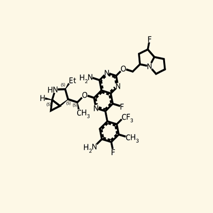 CC[C@@H]1N[C@H]2CC2[C@@H]1[C@H](C)Oc1nc(-c2cc(N)c(F)c(C)c2C(F)(F)F)c(F)c2nc(OCC3CC(F)C4CCCN34)nc(N)c12